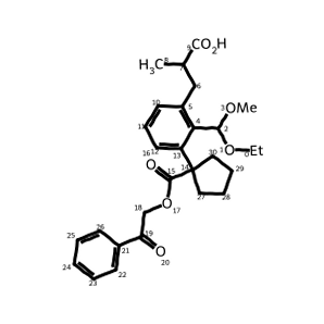 CCOC(OC)c1c(CC(C)C(=O)O)cccc1C1(C(=O)OCC(=O)c2ccccc2)CCCC1